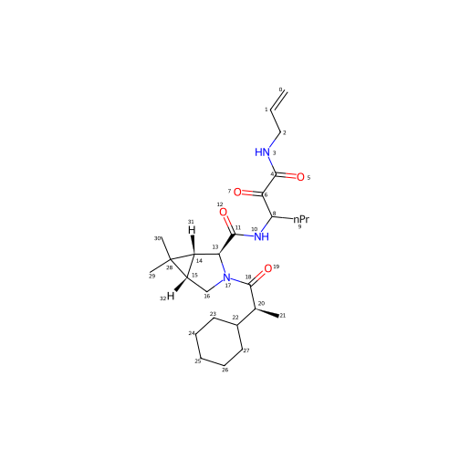 C=CCNC(=O)C(=O)C(CCC)NC(=O)[C@@H]1[C@@H]2[C@H](CN1C(=O)[C@@H](C)C1CCCCC1)C2(C)C